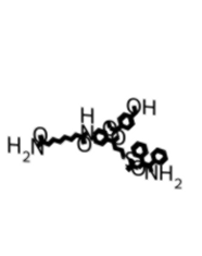 C=C(O/C(=C(\N)C1C=CC=CC1)C1C=CC=CC1)SCCCC(O[C@@H](OC)C1C=CC(CO)=CC1)C1=CCC(NC(=O)CCCCCCC(N)=O)C=C1